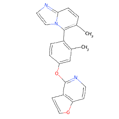 Cc1cc(Oc2nccc3occc23)ccc1-c1c(C)ccc2nccn12